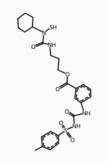 Cc1ccc(S(=O)(=O)NC(=O)Nc2cccc(C(=O)OCCCNC(=O)N(S)C3CCCCC3)c2)cc1